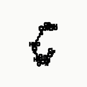 COc1cc2ncnc(Nc3ccc(F)c(Cl)c3)c2cc1NC(=O)/C=C/CN1CCC(NC(=O)CCCCCSc2cccc3c2CN(C2CCC(=O)NC2=O)C3=O)CC1